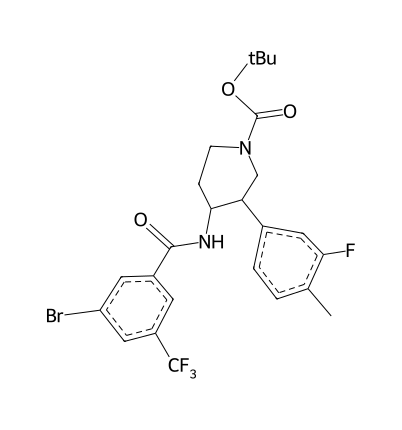 Cc1ccc(C2CN(C(=O)OC(C)(C)C)CCC2NC(=O)c2cc(Br)cc(C(F)(F)F)c2)cc1F